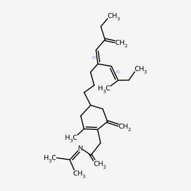 C=C(/C=C(\C=C(/C)CC)CCCC1CC(=C)C(CC(=C)N=C(C)C)=C(C)C1)CC